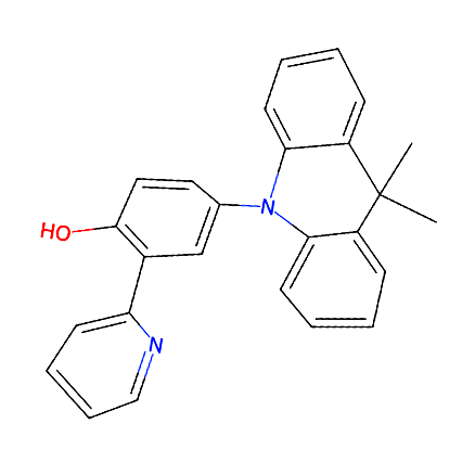 CC1(C)c2ccccc2N(c2ccc(O)c(-c3ccccn3)c2)c2ccccc21